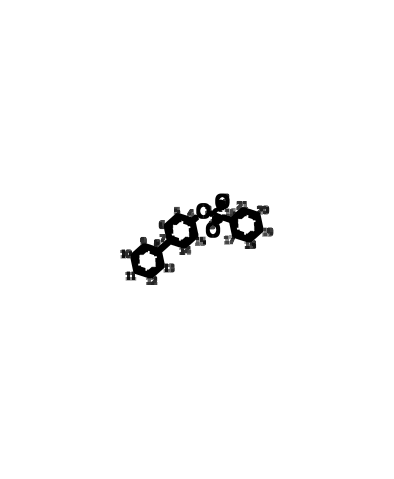 O=S(=O)(Oc1ccc(-c2ccccc2)cc1)c1ccccc1